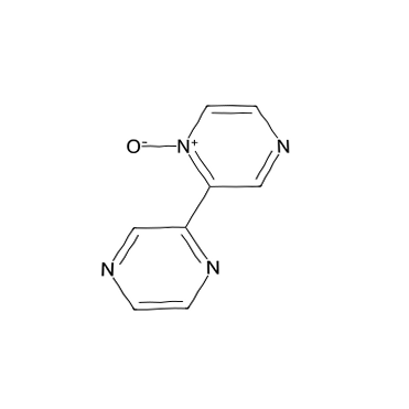 [O-][n+]1ccncc1-c1cnccn1